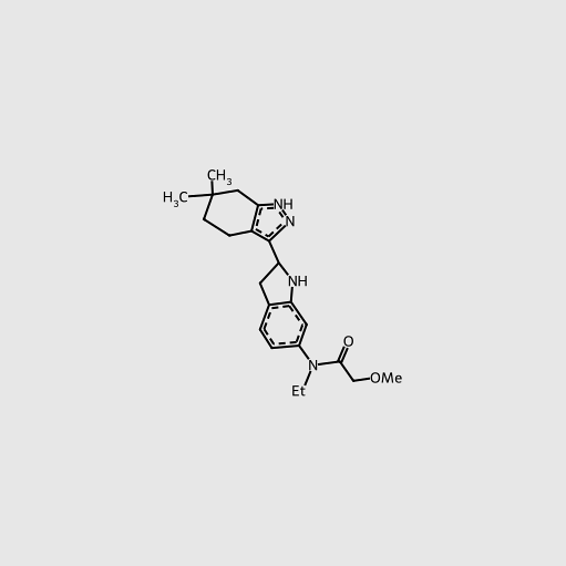 CCN(C(=O)COC)c1ccc2c(c1)NC(c1n[nH]c3c1CCC(C)(C)C3)C2